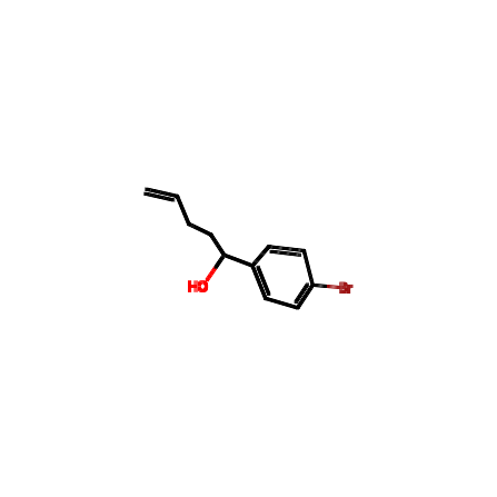 C=CCCC(O)c1ccc(Br)cc1